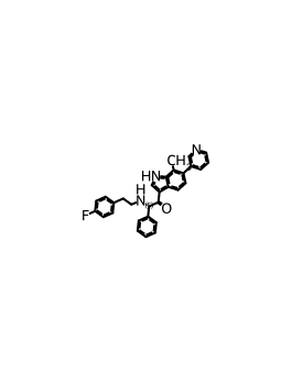 Cc1c(-c2cccnc2)ccc2c(C(=O)[C@@H](NCCc3ccc(F)cc3)c3ccccc3)c[nH]c12